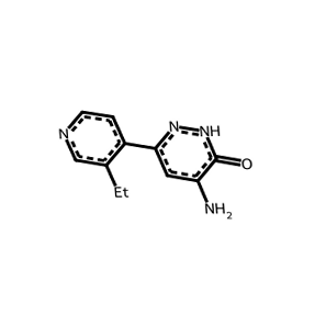 CCc1cnccc1-c1cc(N)c(=O)[nH]n1